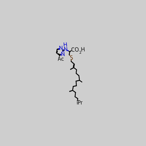 CC(=O)c1ccnc(NC(CSC/C=C(\C)CCCC(C)CCCC(C)CCCC(C)C)C(=O)O)n1